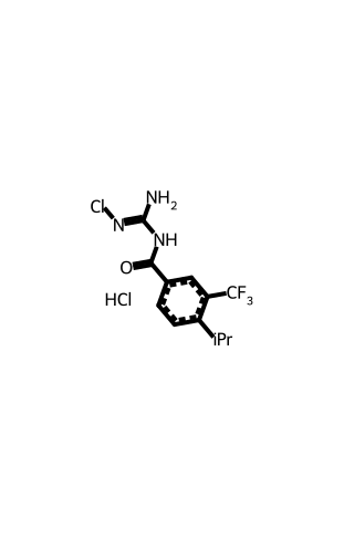 CC(C)c1ccc(C(=O)NC(N)=NCl)cc1C(F)(F)F.Cl